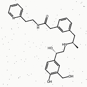 C[C@H](Cc1cccc(CC(=O)NCCc2ccccn2)c1)NC[C@@H](O)c1ccc(O)c(CO)c1